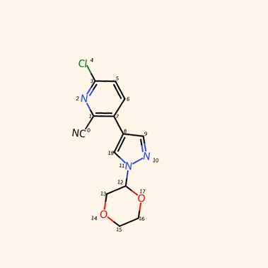 N#Cc1nc(Cl)ccc1-c1cnn(C2COCCO2)c1